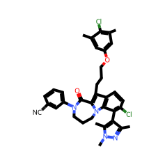 Cc1cc(OCCCc2c3n(c4c(-c5c(C)nn(C)c5C)c(Cl)ccc24)CCCN(c2cccc(C#N)c2)C3=O)cc(C)c1Cl